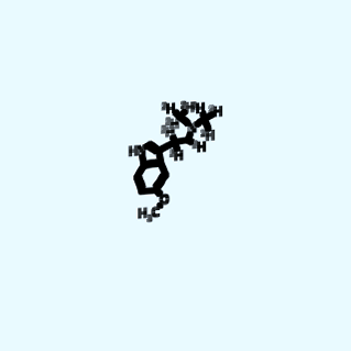 [2H]C(N(C([2H])([2H])[2H])C([2H])([2H])[2H])C([2H])([2H])c1c[nH]c2ccc(OC)cc12